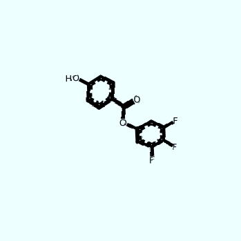 O=C(Oc1cc(F)c(F)c(F)c1)c1ccc(O)cc1